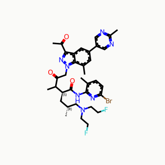 CC(=O)c1nn(CC(=O)C(C)[C@H](C[C@@H](C)CN(CCF)CCF)C(=O)Nc2nc(Br)ccc2C)c2c(C)cc(-c3cnc(C)nc3)cc12